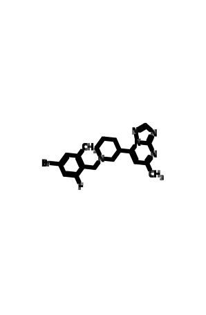 Cc1cc(C2CCCN(Cc3c(C)cc(Br)cc3F)C2)n2ncnc2n1